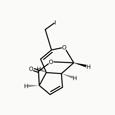 O=C1O[C@@H]2OC(CI)=C[C@H]3[C@@H]2C=C[C@@H]13